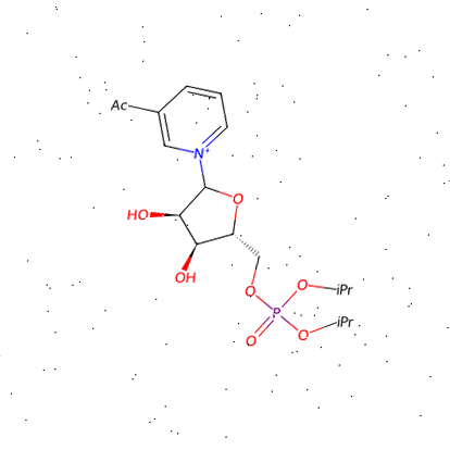 CC(=O)c1ccc[n+](C2O[C@H](COP(=O)(OC(C)C)OC(C)C)[C@@H](O)[C@H]2O)c1